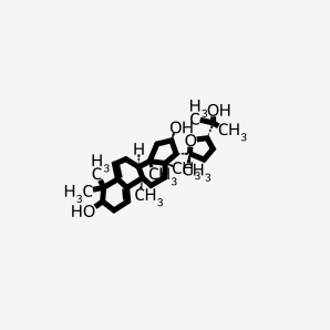 CC1(C)C2=CC[C@@H]3[C@@](C)(CC[C@]4(C)[C@@H]([C@@]5(C)CC[C@@H](C(C)(C)O)O5)[C@@H](O)C[C@@]34C)C2=CCC1O